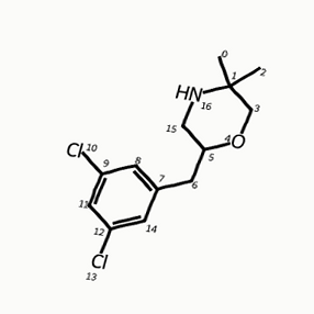 CC1(C)COC(Cc2cc(Cl)cc(Cl)c2)CN1